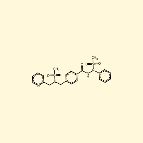 CS(=O)(=O)N(Cc1ccc(C(=O)NN(c2ccccc2)S(C)(=O)=O)cc1)Cc1ccccn1